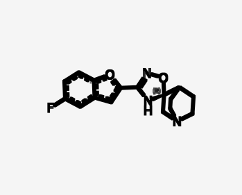 Fc1ccc2oc(C3=NO[C@]4(CN5CCC4CC5)N3)cc2c1